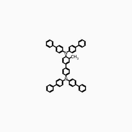 CC1C=C(c2ccc(N(c3ccc(-c4ccccc4)cc3)c3ccc(-c4ccccc4)cc3)cc2)C=CC1N(c1ccc(-c2ccccc2)cc1)c1ccc(-c2ccccc2)cc1